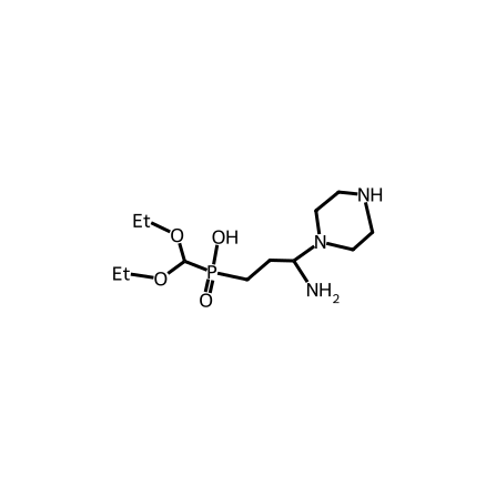 CCOC(OCC)P(=O)(O)CCC(N)N1CCNCC1